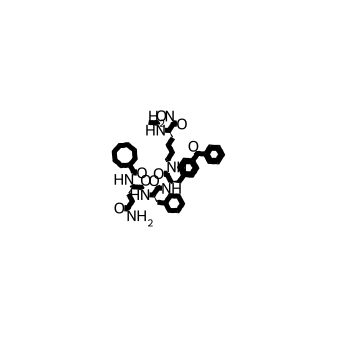 CC(=O)N[C@@H](CCCCNC(=O)[C@@H](Cc1ccc(C(=O)c2ccccc2)cc1)NC(=O)[C@H](CC1CCCCC1)NC(=O)[C@H](CCC(N)=O)NC(=O)C1CCCCCCC1)C(N)=O